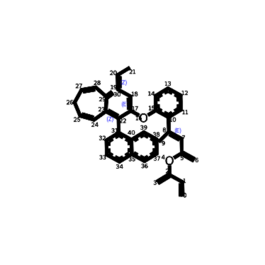 C=CC(=C)OC(=C)/C=C(\C)c1ccccc1OC(=C/C=C\C)/C(=C1/C=CCC=CC1=C)c1cccc2ccccc12